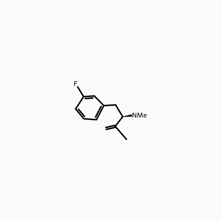 C=C(C)[C@@H](Cc1cccc(F)c1)NC